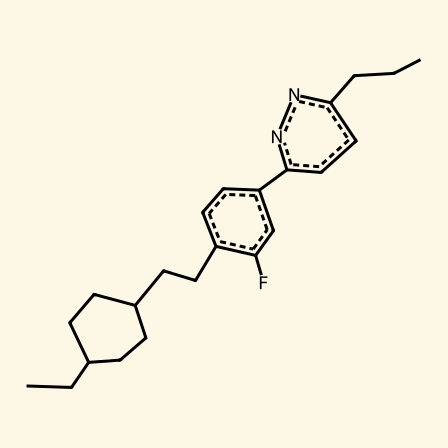 CCCc1ccc(-c2ccc(CCC3CCC(CC)CC3)c(F)c2)nn1